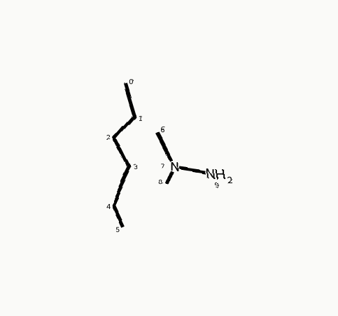 CCCCCC.CN(C)N